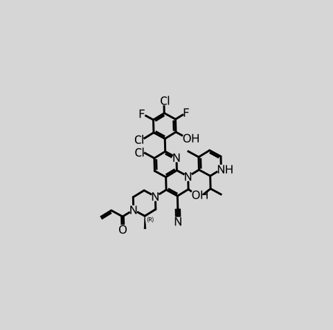 C=CC(=O)N1CCN(C2=C(C#N)C(O)N(C3=C(C)C=CNC3C(C)C)c3nc(-c4c(O)c(F)c(Cl)c(F)c4Cl)c(Cl)cc32)C[C@H]1C